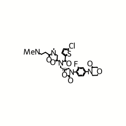 CNCCC(=O)N(C)CC(=O)N(C[C@H]1CN(c2ccc(N3CCOCC3=O)cc2F)C(=O)O1)C(=O)c1ccc(Cl)s1